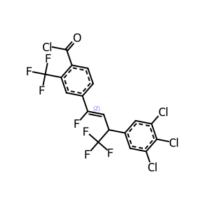 O=C(Cl)c1ccc(/C(F)=C/C(c2cc(Cl)c(Cl)c(Cl)c2)C(F)(F)F)cc1C(F)(F)F